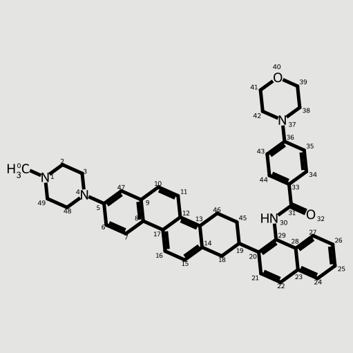 CN1CCN(c2ccc3c(ccc4c5c(ccc43)CC(c3ccc4ccccc4c3NC(=O)c3ccc(N4CCOCC4)cc3)CC5)c2)CC1